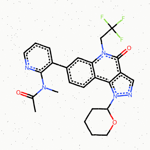 CC(=O)N(C)c1ncccc1-c1ccc2c3c(cnn3C3CCCCO3)c(=O)n(CC(F)(F)F)c2c1